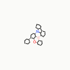 c1ccc(-c2ccc3c4c2Oc2ccccc2B4c2cccc4c5ccccc5n-3c24)cc1